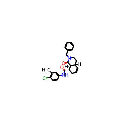 Cc1cc(NC(=O)[C@H]2CC=C[C@H]3CCN(Cc4ccccc4)C(=O)[C@@H]23)ccc1Cl